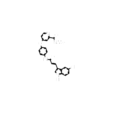 CNC(=O)c1cc(Oc2ccc(NC(=O)C=Cc3c[nH]c4ccc(Cl)cc34)cc2)ccn1